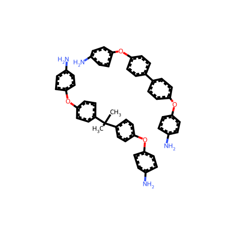 CC(C)(c1ccc(Oc2ccc(N)cc2)cc1)c1ccc(Oc2ccc(N)cc2)cc1.Nc1ccc(Oc2ccc(-c3ccc(Oc4ccc(N)cc4)cc3)cc2)cc1